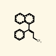 FC(F)(F)CC=C(c1ccccc1)c1cccc2ccccc12